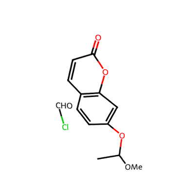 COC(C)Oc1ccc2ccc(=O)oc2c1.O=CCl